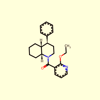 CCOc1ncccc1C(=O)N1CC[C@H](c2ccccc2)[C@H]2CCCC[C@H]21